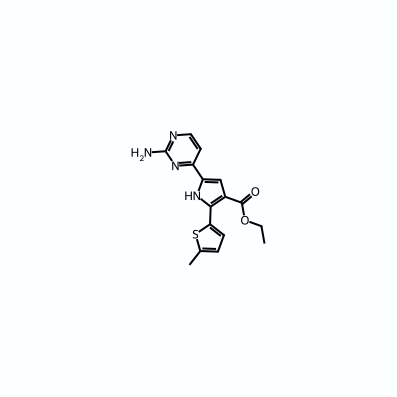 CCOC(=O)c1cc(-c2ccnc(N)n2)[nH]c1-c1ccc(C)s1